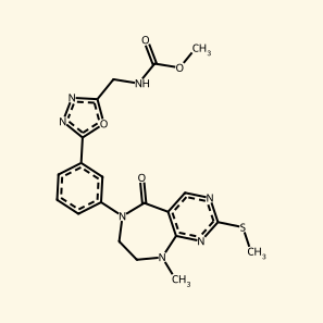 COC(=O)NCc1nnc(-c2cccc(N3CCN(C)c4nc(SC)ncc4C3=O)c2)o1